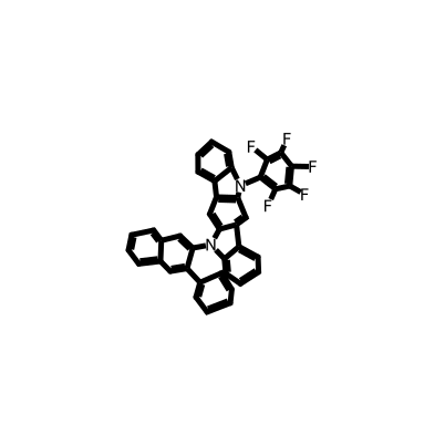 Fc1c(F)c(F)c(-n2c3ccccc3c3cc4c(cc32)c2ccccc2n4-c2cc3ccccc3cc2-c2ccccc2)c(F)c1F